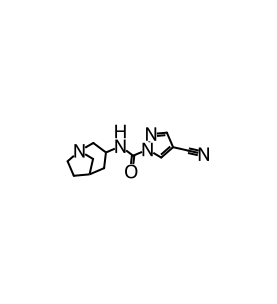 N#Cc1cnn(C(=O)NC2CC3CCN(C3)C2)c1